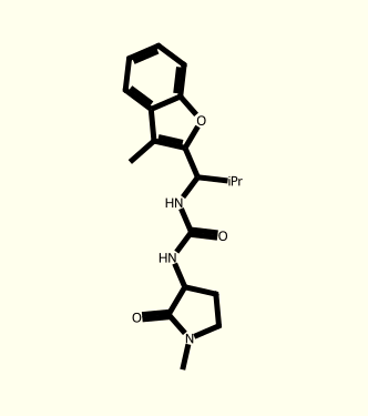 Cc1c(C(NC(=O)NC2CCN(C)C2=O)C(C)C)oc2ccccc12